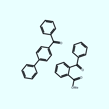 COC(=O)c1ccccc1C(=O)c1ccccc1.O=C(c1ccccc1)c1ccc(-c2ccccc2)cc1